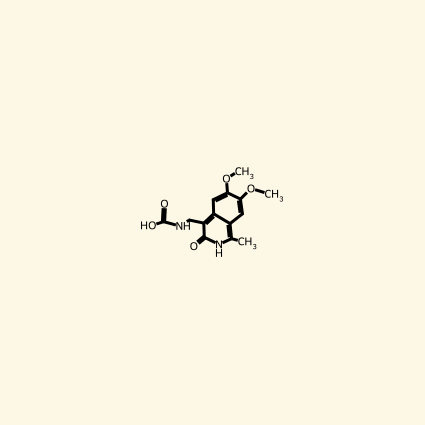 COc1cc2c(C)[nH]c(=O)c(CNC(=O)O)c2cc1OC